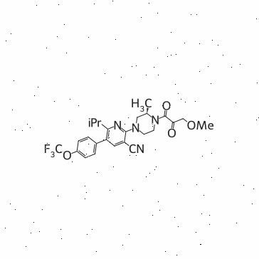 COCC(=O)C(=O)N1CCN(c2nc(C(C)C)c(-c3ccc(OC(F)(F)F)cc3)cc2C#N)C[C@H]1C